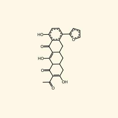 CC(=O)C1=C(O)CC2CC3Cc4c(-c5ccco5)ccc(O)c4C(=O)C3=C(O)C2C1=O